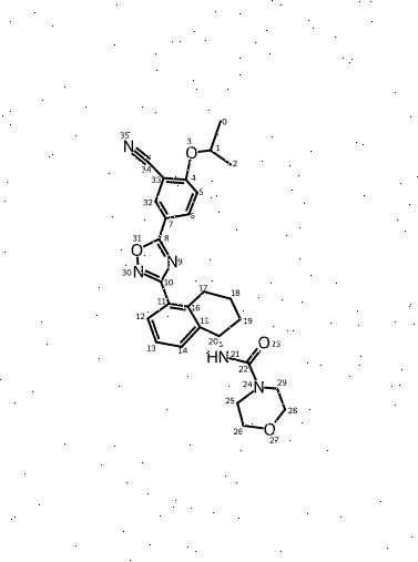 CC(C)Oc1ccc(-c2nc(-c3cccc4c3CCC[C@@H]4NC(=O)N3CCOCC3)no2)cc1C#N